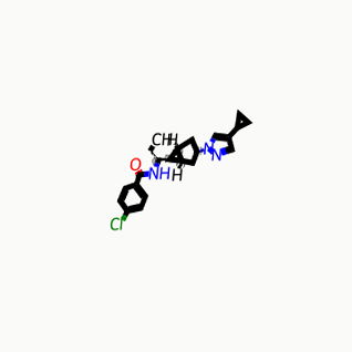 CC[C@@H](NC(=O)c1ccc(Cl)cc1)[C@H]1[C@@H]2C[C@@H](n3cc(C4CC4)cn3)C[C@@H]21